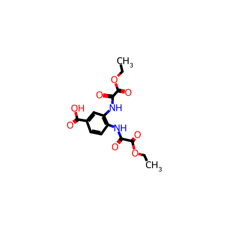 CCOC(=O)C(=O)Nc1ccc(C(=O)O)cc1NC(=O)C(=O)OCC